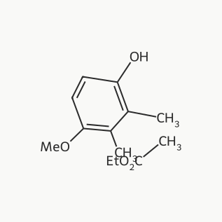 CCOC(C)=O.COc1ccc(O)c(C)c1C